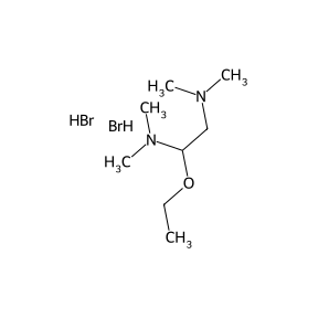 Br.Br.CCOC(CN(C)C)N(C)C